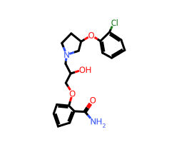 NC(=O)c1ccccc1OCC(O)CN1CCC(Oc2ccccc2Cl)C1